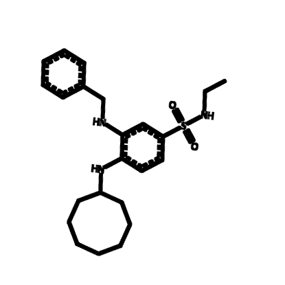 CCNS(=O)(=O)c1ccc(NC2CCCCCCC2)c(NCc2ccccc2)c1